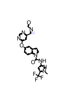 Cn1nc(NC(=O)n2ccc3cc(Oc4cc(/C=N\C=O)ncn4)ccc32)cc1C(F)(F)F